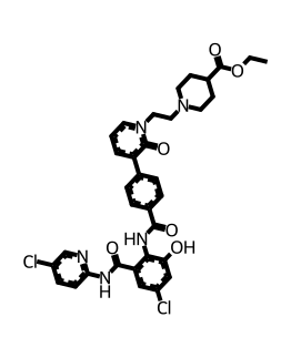 CCOC(=O)C1CCN(CCn2cccc(-c3ccc(C(=O)Nc4c(O)cc(Cl)cc4C(=O)Nc4ccc(Cl)cn4)cc3)c2=O)CC1